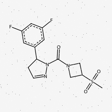 CS(=O)(=O)C1CN(C(=O)N2N=CCC2c2cc(F)cc(F)c2)C1